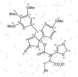 CCOC(=O)C(CC(C)C)N(C(=O)OC1(c2ccc(OC)cc2)OC(=O)C=C1Cc1cc(OC)c(OC)c(OC)c1)C1=COCO1